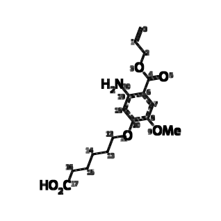 C=CCOC(=O)c1cc(OC)c(OCCCCCC(=O)O)cc1N